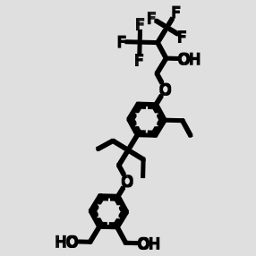 CCc1cc(C(CC)(CC)COc2ccc(CO)c(CO)c2)ccc1OCC(O)C(C(F)(F)F)C(F)(F)F